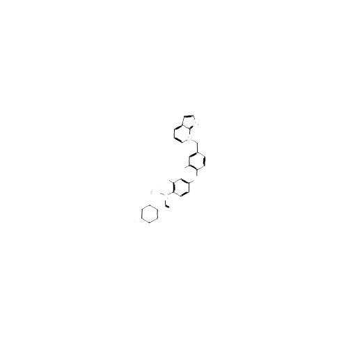 CC(C)N(c1ccc(Oc2ccc(Cn3cccc4ccnc3-4)cc2C(F)(F)F)cc1C(=O)O)C(=O)[C@H]1CC[C@H](C)CC1